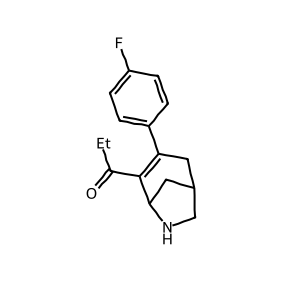 CCC(=O)C1=C(c2ccc(F)cc2)CC2CNC1C2